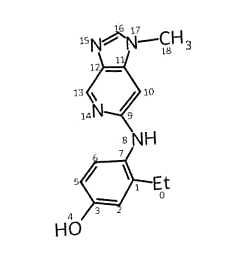 CCc1cc(O)ccc1Nc1cc2c(cn1)ncn2C